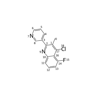 Cc1c(-c2cccnc2)nc2cccc(F)c2c1Cl